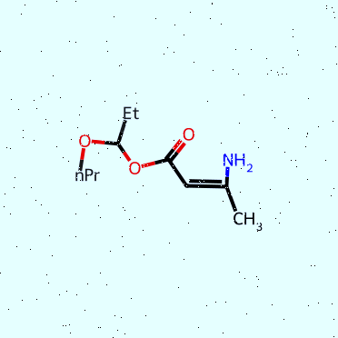 CCCOC(CC)OC(=O)C=C(C)N